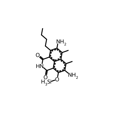 CCCCc1c(N)c(C)c2c(C)c(N)c(O[SiH3])c3c2c1C(=O)NC3=O